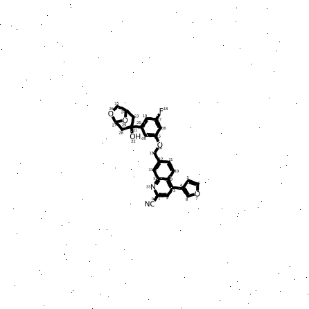 N#Cc1cc(-c2ccoc2)c2ccc(COc3cc(F)cc(C4(O)CC5COC(C4)O5)c3)cc2n1